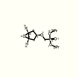 CC(C)OP(=O)(CO[C@H]1C[C@@H]2O[C@@H]2C1)OC(C)C